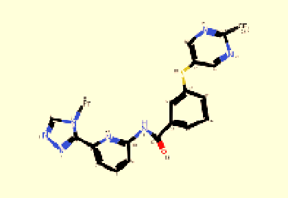 CC(C)n1cnnc1-c1cccc(NC(=O)c2cccc(Sc3cnc(C(F)(F)F)nc3)c2)n1